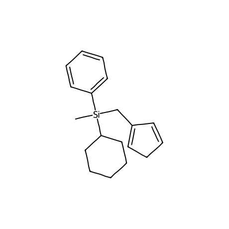 C[Si](CC1=CCC=C1)(c1ccccc1)C1CCCCC1